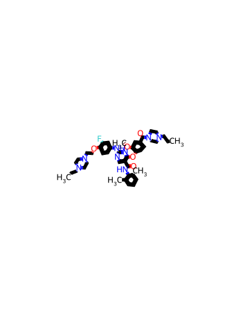 CCCN1CCN(CCOc2ccc(Nc3ncc(C(=O)Nc4c(C)cccc4C)c(Oc4ccc(C(=O)N5CCN(CCC)CC5)cc4OC)n3)cc2F)CC1